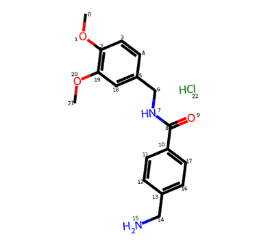 COc1ccc(CNC(=O)c2ccc(CN)cc2)cc1OC.Cl